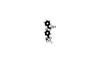 COC(=O)c1ccc(OC(CO)c2ccccc2)cc1